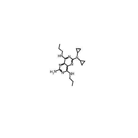 CCCNc1nc(N(C2CC2)C2CC2)nc2c(NCCC)nc(N)nc12